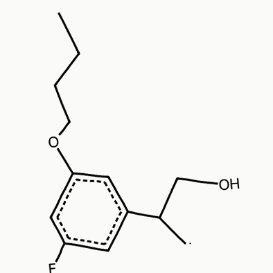 [CH2]C(CO)c1cc(F)cc(OCCCC)c1